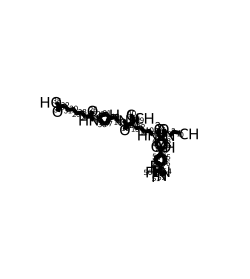 C#CCNC(=O)C1(C(=O)NCCCC[C@@H](C(=O)NCCc2ccc(NC(=O)CCCCCCC(=O)O)cc2)N(C)C)COC(c2ccc(C3(C(F)(F)F)N=N3)cc2)OC1